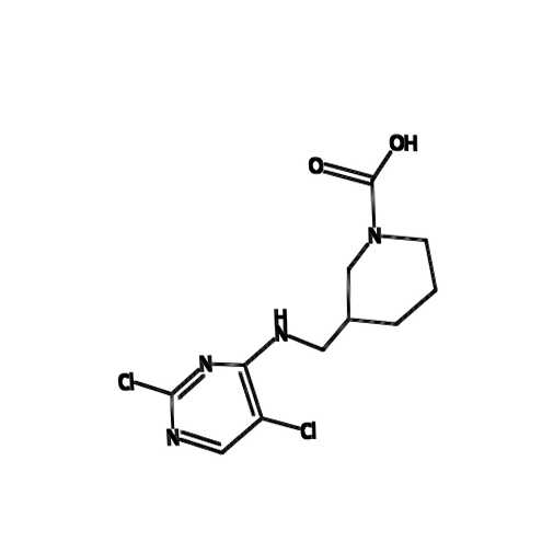 O=C(O)N1CCCC(CNc2nc(Cl)ncc2Cl)C1